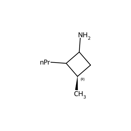 CCCC1C(N)C[C@H]1C